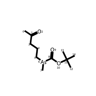 CC(=O)CCC[As](C)C(=O)OC(C)(C)C